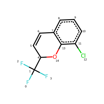 FC(F)(F)C1C=Cc2cccc(Cl)c2O1